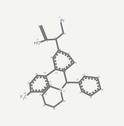 C=C(O)C(CC(C)C)c1ccc(C(c2ccccc2)N2CCCCC2)c(-c2ccc(C(F)(F)F)cc2)c1